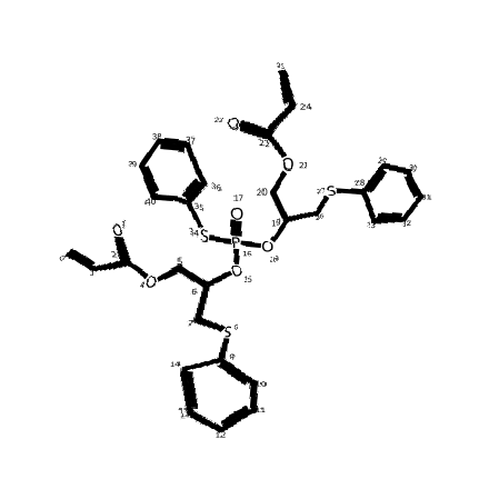 C=CC(=O)OCC(CSc1ccccc1)OP(=O)(OC(COC(=O)C=C)CSc1ccccc1)Sc1ccccc1